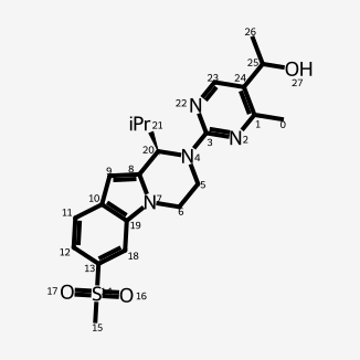 Cc1nc(N2CCn3c(cc4ccc(S(C)(=O)=O)cc43)[C@H]2C(C)C)ncc1C(C)O